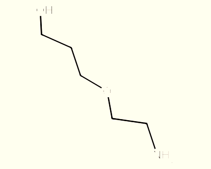 NCCOCCCO